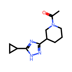 CC(=O)N1CCCC(c2n[nH]c(C3CC3)n2)C1